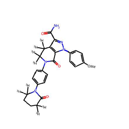 [2H]C1([2H])CCC([2H])([2H])N(c2ccc(N3C(=O)c4c(c(C(N)=O)nn4-c4ccc(OC)cc4)C([2H])([2H])C3([2H])[2H])cc2)C1=O